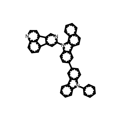 c1ccc(-n2c3ccccc3c3cc(-c4ccc5c(c4)c4ccc6ccccc6c4n5-c4cc5c(cn4)-c4ccnc6cccc-5c46)ccc32)cc1